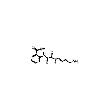 NCCCCNC(=O)C(=O)Nc1ccccc1C(=O)O